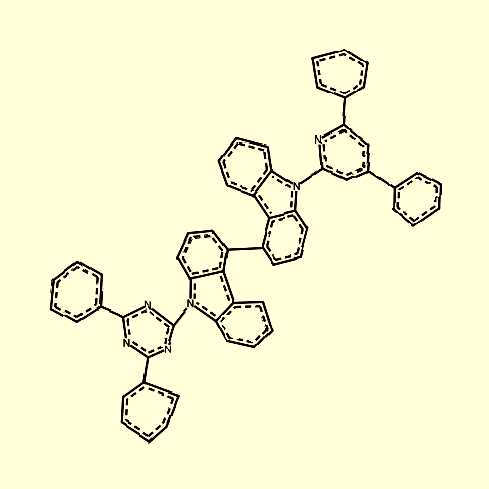 c1ccc(-c2cc(-c3ccccc3)nc(-n3c4ccccc4c4c(-c5cccc6c5c5ccccc5n6-c5nc(-c6ccccc6)nc(-c6ccccc6)n5)cccc43)c2)cc1